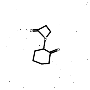 O=C1CCCCC1N1CCC1=O